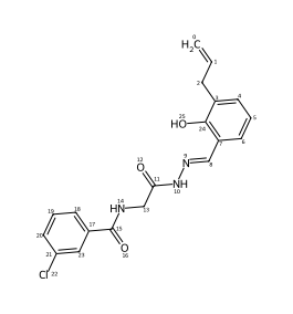 C=CCc1cccc(C=NNC(=O)CNC(=O)c2cccc(Cl)c2)c1O